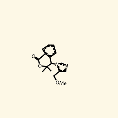 COCc1cncn1C1c2ccccc2C(=O)OC1(C)C